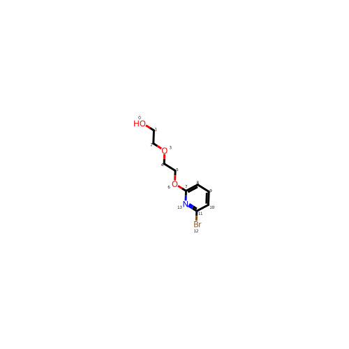 OCCOCCOc1cccc(Br)n1